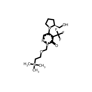 C[Si](C)(C)CCOCn1ncc(N2CCC[C@H]2CO)c(C(F)(F)F)c1=O